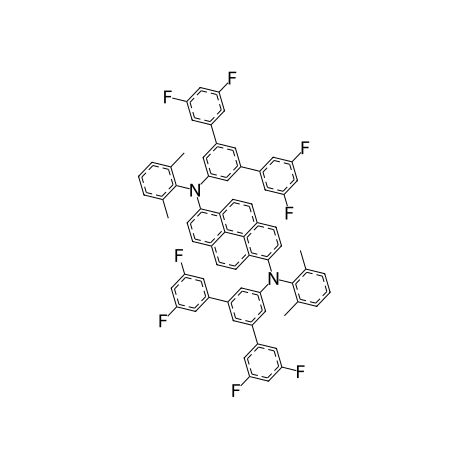 Cc1cccc(C)c1N(c1cc(-c2cc(F)cc(F)c2)cc(-c2cc(F)cc(F)c2)c1)c1ccc2ccc3c(N(c4cc(-c5cc(F)cc(F)c5)cc(-c5cc(F)cc(F)c5)c4)c4c(C)cccc4C)ccc4ccc1c2c43